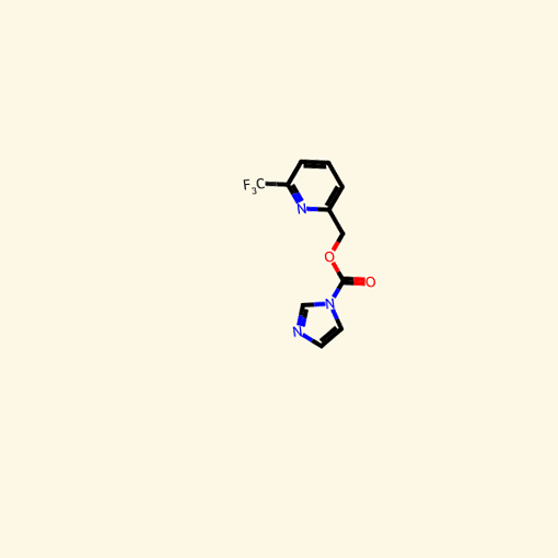 O=C(OCc1cccc(C(F)(F)F)n1)n1ccnc1